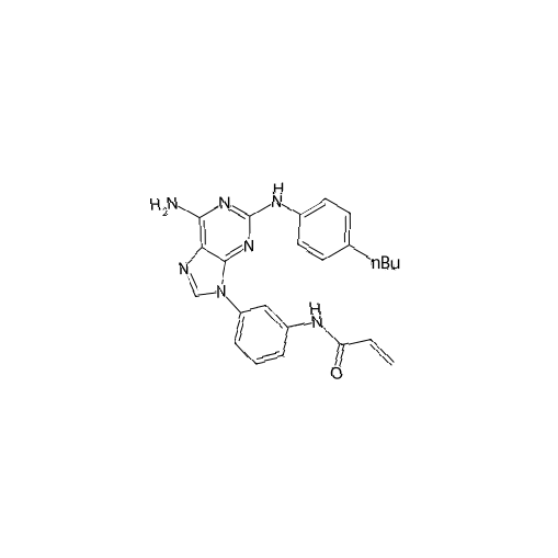 C=CC(=O)Nc1cccc(-n2cnc3c(N)nc(Nc4ccc(CCCC)cc4)nc32)c1